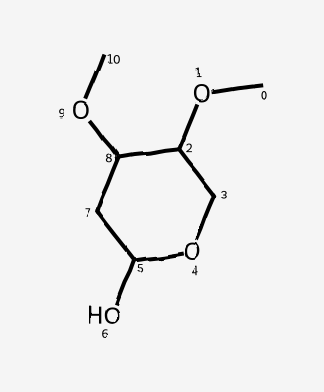 COC1COC(O)CC1OC